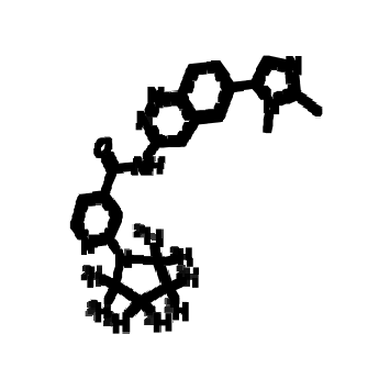 [2H]C1([2H])N(c2cc(C(=O)Nc3cc4cc(-c5cnc(C)n5C)ccc4nn3)ccn2)C([2H])([2H])C([2H])([2H])C1([2H])[2H]